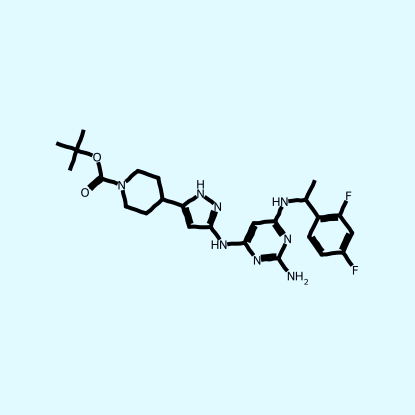 CC(Nc1cc(Nc2cc(C3CCN(C(=O)OC(C)(C)C)CC3)[nH]n2)nc(N)n1)c1ccc(F)cc1F